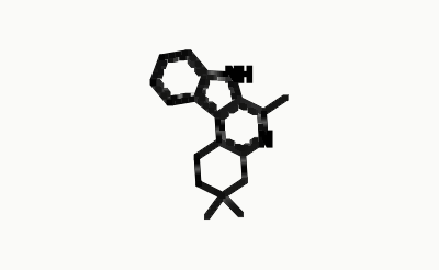 Cc1nc2c(c3c1[nH]c1ccccc13)CCC(C)(C)C2